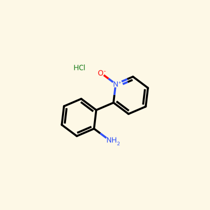 Cl.Nc1ccccc1-c1cccc[n+]1[O-]